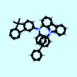 CC1(C)c2ccccc2-c2cc(N(c3ccccc3)c3cccc4c5ccccc5n(-c5ccc(-c6ccccc6)cc5)c34)ccc21